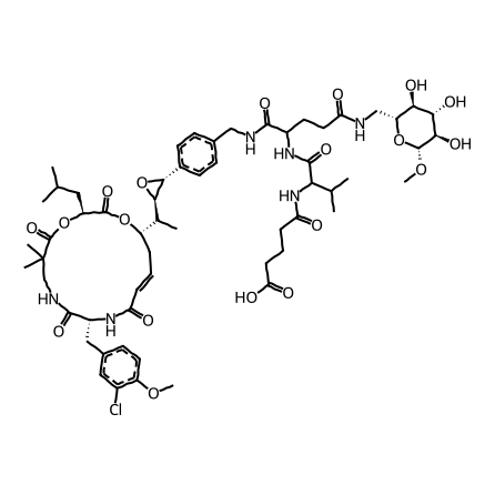 COc1ccc(C[C@H]2NC(=O)/C=C/C[C@@H](C(C)[C@H]3O[C@@H]3c3ccc(CNC(=O)C(CCC(=O)NC[C@H]4O[C@@H](OC)[C@H](O)[C@@H](O)[C@@H]4O)NC(=O)C(NC(=O)CCCC(=O)O)C(C)C)cc3)OC(=O)[C@H](CC(C)C)OC(=O)C(C)(C)CNC2=O)cc1Cl